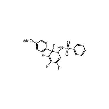 COc1ccc(C2(F)C(F)=C(F)C(F)=CC2NS(=O)(=O)c2ccccc2)cc1